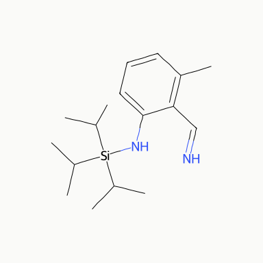 Cc1cccc(N[Si](C(C)C)(C(C)C)C(C)C)c1C=N